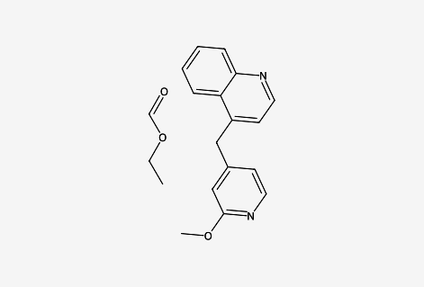 CCOC=O.COc1cc(Cc2ccnc3ccccc23)ccn1